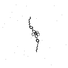 CCCCCCCc1ccc(C2CCC3(CC2)C(=O)C2(CCC(c4ccc(CCCCCCC)cc4)CC2)C3(Cl)Cl)cc1